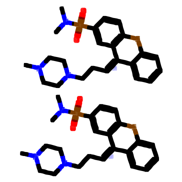 CN1CCN(CC/C=C2/c3ccccc3Sc3ccc(S(=O)(=O)N(C)C)cc32)CC1.CN1CCN(CC/C=C2/c3ccccc3Sc3ccc(S(=O)(=O)N(C)C)cc32)CC1